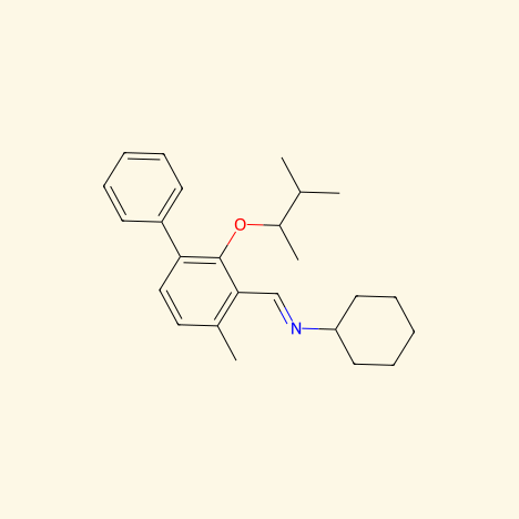 Cc1ccc(-c2ccccc2)c(OC(C)C(C)C)c1/C=N/C1CCCCC1